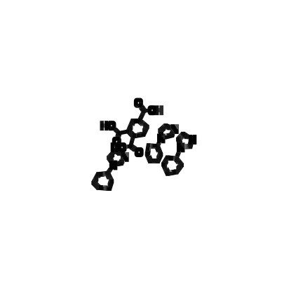 O=C(O)c1ccc(C(=O)O)c(C(=O)O)c1.c1ccc(-n2ccnc2)cc1.c1ccc(-n2ccnc2)cc1.c1ccc(-n2ccnc2)cc1